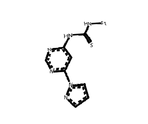 CCNC(=S)Nc1cc(-n2cccn2)ncn1